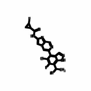 CC(C)C(C)c1c(F)c(Cl)c(-c2cn3cc(NC(=O)C4CC4F)nc3cn2)c2cn[nH]c12